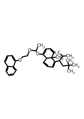 CC(OCCOc1cccc2ccccc12)OC1=CC=CC2(C)C(C(CC(C)(C)C)C(C)C)=CC=CC12